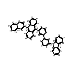 c1cc(-c2cccc(-n3c4ccccc4c4ccccc43)c2)cc(-c2c3ccccc3c(-c3ccc4ccccc4c3)c3ccccc23)c1